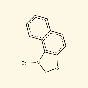 CCN1CSc2ccc3ccccc3c21